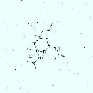 CC[CH2][Ti]1([CH2]CC)[Ti][Ti]([PH]C(C)C)[Ti][Ti]([Cl])([Cl])([PH]C(C)C)[Ti]1